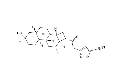 C[C@@H]1C[C@H]2[C@@H](CC[C@H]3C[C@](C)(O)CC[C@@H]32)[C@@H]2C[C@H](C(=O)Cn3cc(C#N)cn3)[C@H]21